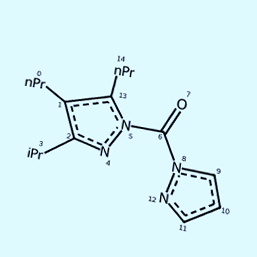 CCCc1c(C(C)C)nn(C(=O)n2cccn2)c1CCC